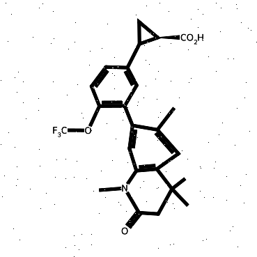 Cc1cc2c(cc1-c1cc(C3C[C@H]3C(=O)O)ccc1OC(F)(F)F)N(C)C(=O)CC2(C)C